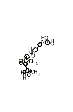 COc1cc(-c2cn(C)c(=O)c3[nH]ncc23)cc(OC)c1CN1CCC(NC(=O)N2CCC(c3ccc(NC4CCC(=O)NC4=O)cc3)CC2)CC1